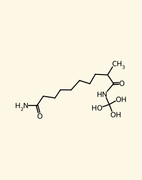 CC(CCCCCCCC(N)=O)C(=O)NC(O)(O)O